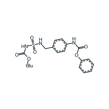 CC(C)(C)OC(=O)NS(=O)(=O)NCc1ccc(NC(=O)Oc2ccccc2)cc1